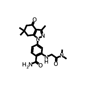 Cc1nn(-c2ccc(C(N)=O)c(NCC(=O)N(C)C)c2)c2c1C(=O)CC(C)(C)C2